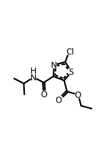 CCOC(=O)c1sc(Cl)nc1C(=O)NC(C)C